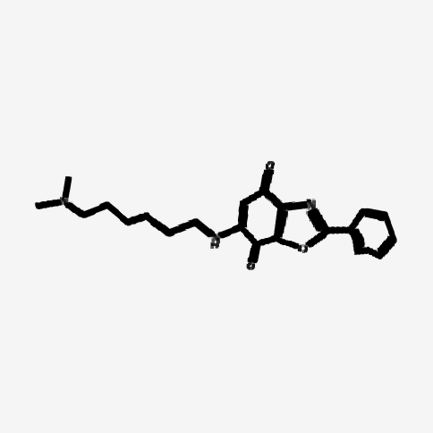 CN(C)CCCCCCNC1=CC(=O)c2nc(-c3ccccc3)oc2C1=O